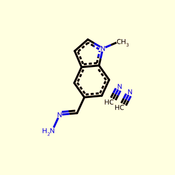 C#N.C#N.Cn1ccc2cc(C=NN)ccc21